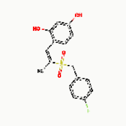 N#C/C(=C/c1ccc(O)cc1O)S(=O)(=O)Cc1ccc(F)cc1